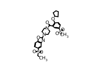 CCS(=O)(=O)c1ccc2oc(N3CCN(C(=O)c4cc(S(C)(=O)=O)ccc4OC4CCCC4)CC3)nc2c1